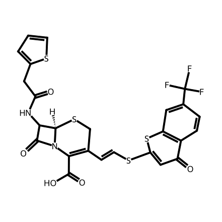 O=C(Cc1cccs1)NC1C(=O)N2C(C(=O)O)=C(/C=C/Sc3cc(=O)c4ccc(C(F)(F)F)cc4s3)CS[C@H]12